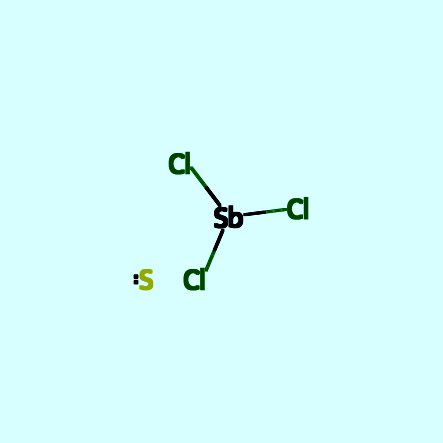 [Cl][Sb]([Cl])[Cl].[S]